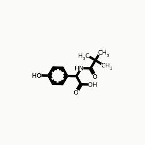 CC(C)(C)C(=O)NC(C(=O)O)c1ccc(O)cc1